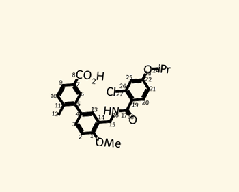 COc1ccc(-c2cc(C(=O)O)ccc2C)cc1CNC(=O)c1ccc(OC(C)C)cc1Cl